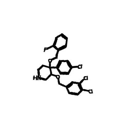 Fc1ccccc1COC1(c2ccc(Cl)cc2)CCNCC1OCc1ccc(Cl)c(Cl)c1